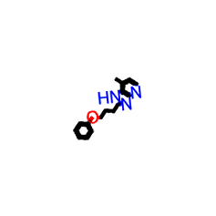 Cc1ccnc2nc(CCCOc3ccccc3)[nH]c12